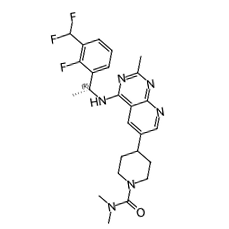 Cc1nc(N[C@H](C)c2cccc(C(F)F)c2F)c2cc(C3CCN(C(=O)N(C)C)CC3)cnc2n1